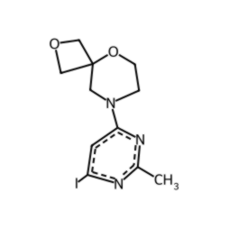 Cc1nc(I)cc(N2CCOC3(COC3)C2)n1